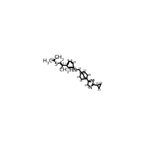 C=C(C)S/C=C(\C)c1cccc(NCC23CCC(C4=NC(C5CC5)=NC4)(CC2)CC3)c1